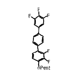 CCCCCc1ccc(-c2ccc(-c3cc(F)c(F)c(F)c3)cc2)c(F)c1F